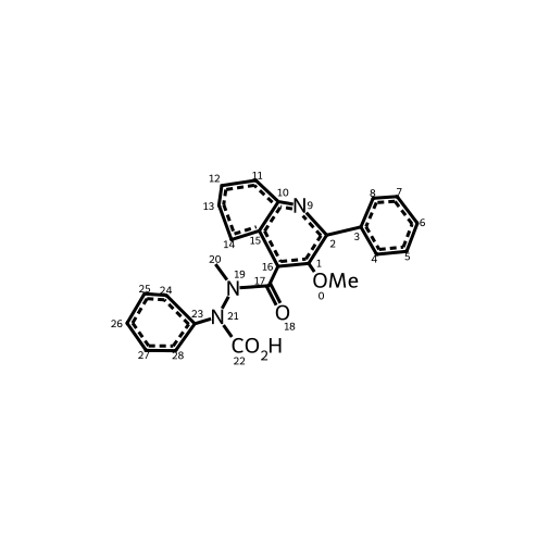 COc1c(-c2ccccc2)nc2ccccc2c1C(=O)N(C)N(C(=O)O)c1ccccc1